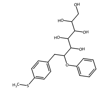 CSc1ccc(CC(Oc2ccccc2)C(O)C(O)C(O)C(O)CO)cc1